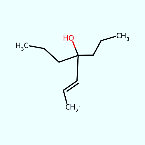 [CH2]C=CC(O)(CCC)CCC